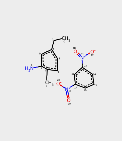 CCc1ccc(C)c(N)c1.O=[N+]([O-])c1cccc([N+](=O)[O-])c1